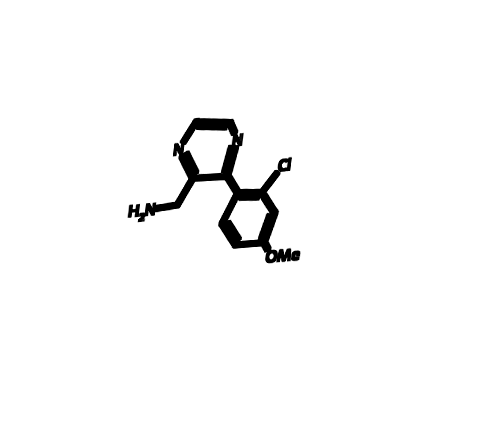 COc1ccc(-c2nccnc2CN)c(Cl)c1